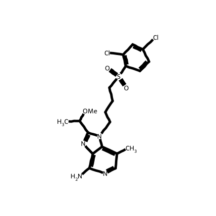 COC(C)c1nc2c(N)ncc(C)c2n1CCCCS(=O)(=O)c1ccc(Cl)cc1Cl